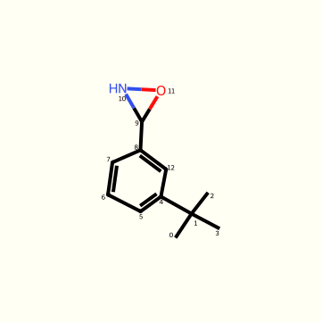 CC(C)(C)c1cccc(C2NO2)c1